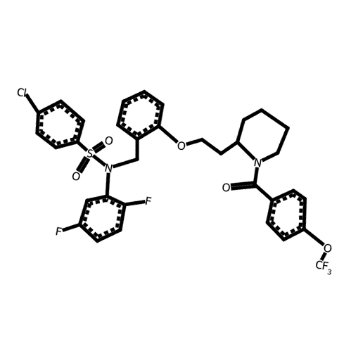 O=C(c1ccc(OC(F)(F)F)cc1)N1CCCCC1CCOc1ccccc1CN(c1cc(F)ccc1F)S(=O)(=O)c1ccc(Cl)cc1